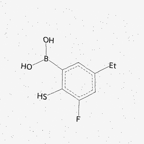 CCc1cc(F)c(S)c(B(O)O)c1